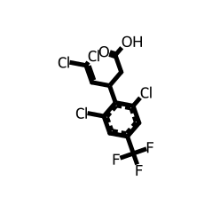 O=C(O)CC(C=C(Cl)Cl)c1c(Cl)cc(C(F)(F)F)cc1Cl